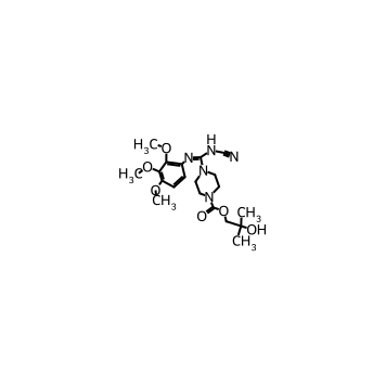 COc1ccc(N=C(NC#N)N2CCN(C(=O)OCC(C)(C)O)CC2)c(OC)c1OC